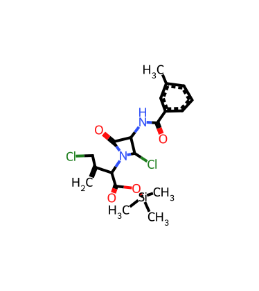 C=C(CCl)C(C(=O)O[Si](C)(C)C)N1C(=O)C(NC(=O)c2cccc(C)c2)C1Cl